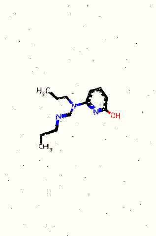 CCCN=CN(CCC)c1cccc(O)n1